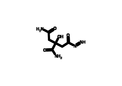 N=NC(=O)CC(O)(CC(N)=O)C(N)=O